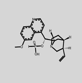 C=C[C@H]1CN2CC[C@H]1C[C@H]2[C@H](OP(=O)(O)I)c1ccnc2ccc(OC)cc12